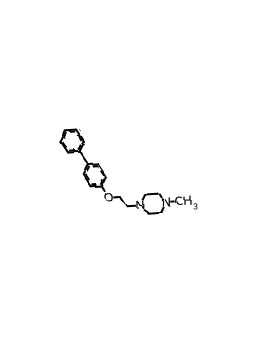 CN1CCN(CCOc2ccc(-c3c[c]ccc3)cc2)CC1